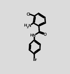 Nc1c(Cl)cccc1C(=O)Nc1ccc(Br)cc1